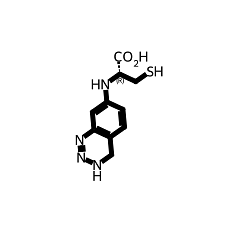 O=C(O)[C@H](CS)Nc1ccc2c(c1)N=NNC2